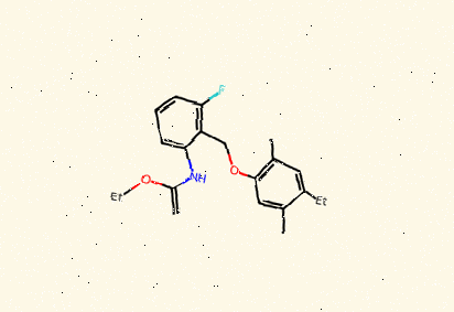 C=C(Nc1cccc(F)c1COc1cc(C)c(CC)cc1C)OCC